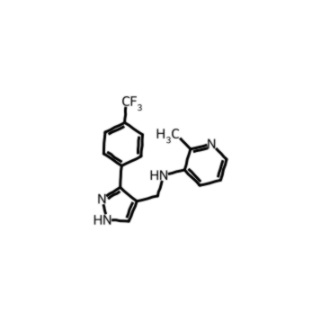 Cc1ncccc1NCc1c[nH]nc1-c1ccc(C(F)(F)F)cc1